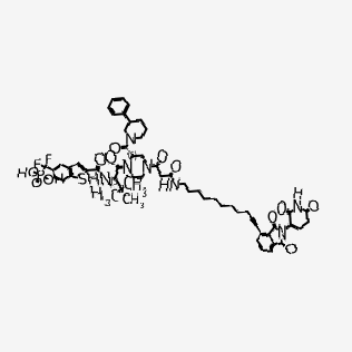 CC(C)(C)[C@H](NC(=O)c1cc2cc(C(F)(F)P(=O)(O)O)ccc2s1)C(=O)N1CCN(C(=O)CC(=O)NCCCCCCCCCC#Cc2cccc3c2C(=O)N(C2CCC(=O)NC2=O)C3=O)C[C@H]1C(=O)N1CCCC(c2ccccc2)C1